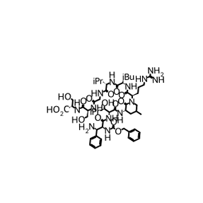 CC[C@H](C)[C@H](NC(=O)[C@@H](CCCNC(=N)N)N1CC(C)C[C@H](NC(=O)[C@@H](NC(=O)[C@@H](NC(=O)OCc2ccccc2)[C@H](N)c2ccccc2)[C@H](O)C(C)C)C1=O)C(=O)N[C@H](C(=O)NCC(=O)N[C@@H](CO)C(=O)N[C@@H](CO)C(=O)O)C(C)C